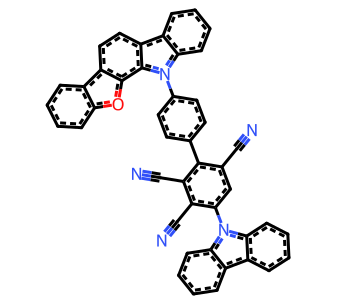 N#Cc1cc(-n2c3ccccc3c3ccccc32)c(C#N)c(C#N)c1-c1ccc(-n2c3ccccc3c3ccc4c5ccccc5oc4c32)cc1